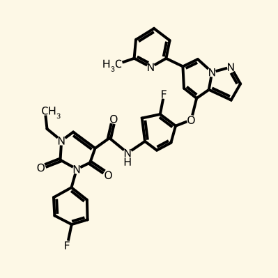 CCn1cc(C(=O)Nc2ccc(Oc3cc(-c4cccc(C)n4)cn4nccc34)c(F)c2)c(=O)n(-c2ccc(F)cc2)c1=O